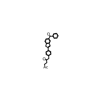 CC(=O)CCC(=O)Cc1ccc(C2=Cc3cc(C(=O)c4ccccc4)ccc3C2)cc1